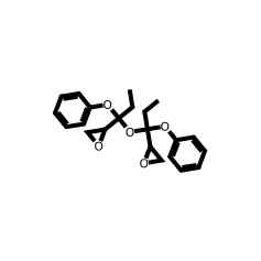 CCC(Oc1ccccc1)(OC(CC)(Oc1ccccc1)C1CO1)C1CO1